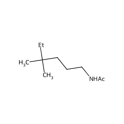 CCC(C)(C)CCCNC(C)=O